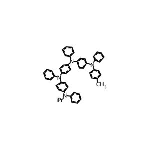 Cc1ccc(N(c2ccccc2)c2ccc(N(c3ccccc3)c3ccc(N(c4ccccc4)c4ccc(N(c5ccccc5)C(C)C)cc4)cc3)cc2)cc1